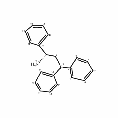 N[C@@H](CP(c1ccccc1)c1ccccc1)c1ccccc1